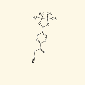 CC1(C)OB(c2ccc(C(=O)CC#N)cc2)OC1(C)C